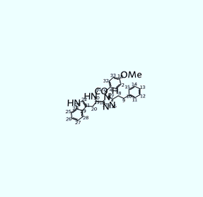 COc1ccc(Cn2c(CCc3ccccc3)nnc2C(Cc2c[nH]c3ccccc23)NC(=O)O)cc1